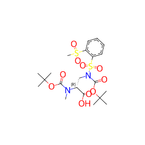 CN(C(=O)OC(C)(C)C)[C@H](CN(C(=O)OC(C)(C)C)S(=O)(=O)c1ccccc1S(C)(=O)=O)C(=O)O